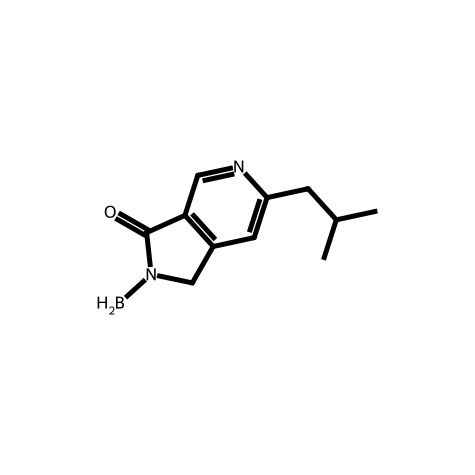 BN1Cc2cc(CC(C)C)ncc2C1=O